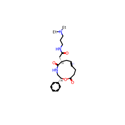 CCN(CC)CCCNC(=O)C[C@@H]1C/C=C/CCC(=O)O[C@H](c2ccccc2)CNC1=O